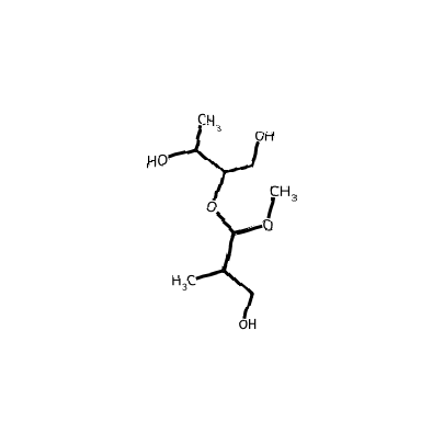 COC(OC(CO)C(C)O)C(C)CO